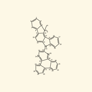 CC1(C)c2ccccc2-c2ccc3c(c21)c1ccccc1n3-c1cnc2c3ccccc3c3ccccc3c2n1